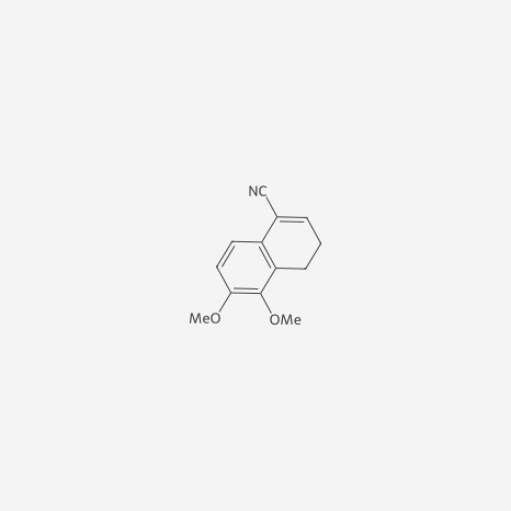 COc1ccc2c(c1OC)CCC=C2C#N